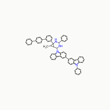 CC1C2C(n3c4ccccc4c4cc(-c5ccc6c(c5)c5ccccc5n6-c5ccccc5)ccc43)NC(c3ccccc3)NC12c1cccc(-c2ccc(-c3ccccc3)cc2)c1